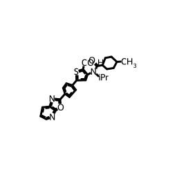 CC1CCC(C(=O)N(c2cc(-c3ccc(-c4nc5cccnc5o4)cc3)sc2C(=O)O)C(C)C)CC1